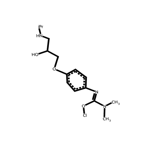 CC(C)NCC(O)COc1ccc(N=C(OCl)N(C)C)cc1